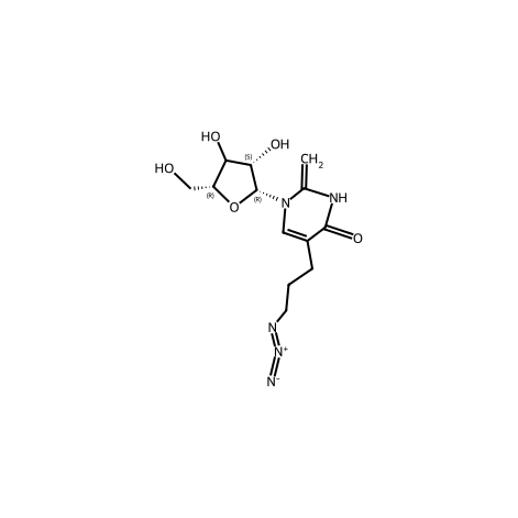 C=C1NC(=O)C(CCCN=[N+]=[N-])=CN1[C@@H]1O[C@H](CO)C(O)[C@@H]1O